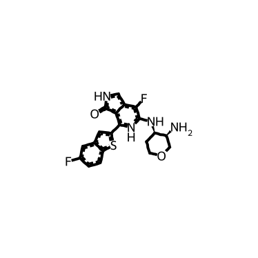 N[C@H]1COCC[C@H]1Nc1[nH]c(-c2cc3cc(F)ccc3s2)c2c(=O)[nH]cc-2c1F